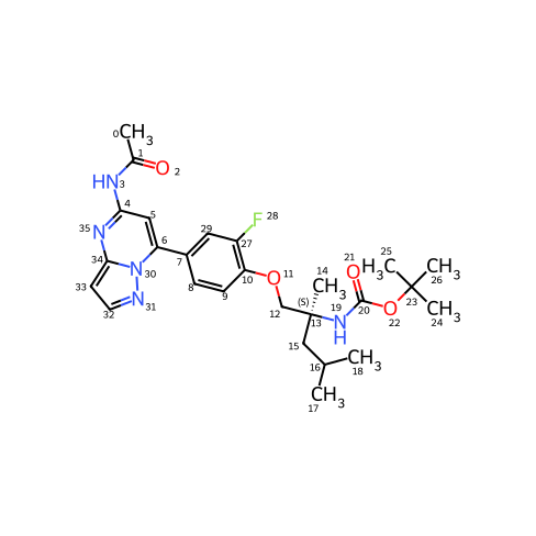 CC(=O)Nc1cc(-c2ccc(OC[C@](C)(CC(C)C)NC(=O)OC(C)(C)C)c(F)c2)n2nccc2n1